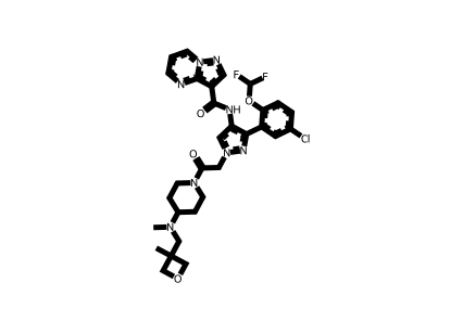 CN(CC1(C)COC1)C1CCN(C(=O)Cn2cc(NC(=O)c3cnn4cccnc34)c(-c3cc(Cl)ccc3OC(F)F)n2)CC1